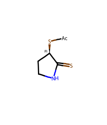 CC(=O)S[C@@H]1CCNC1=S